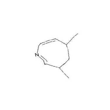 CC1C=CN=CC(C)C1